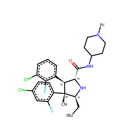 CC(=O)N1CCC(NC(=O)[C@@H]2N[C@@H](CC(C)(C)C)[C@](C#N)(c3ccc(Cl)cc3F)[C@H]2c2cccc(Cl)c2F)CC1